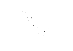 CCCCc1nc2c(N(C(=O)OC(C)(C)C)C(=O)OC(C)(C)C)nc3cc(Cc4ccc5c(c4)CC4(CC5)OCCO4)ccc3c2n1CC(C)(C)OC(=O)OC(C)(C)C